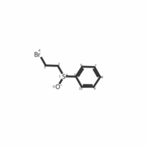 [O-][S+](CCBr)c1ccccc1